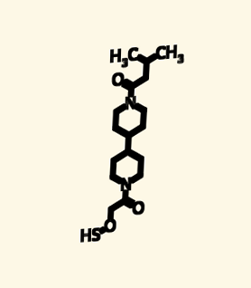 CC(C)CC(=O)N1CCC(C2CCN(C(=O)COS)CC2)CC1